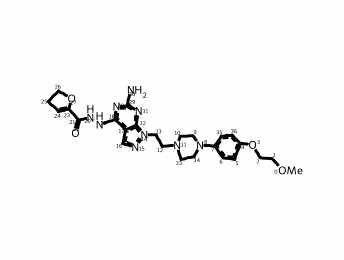 COCCOc1ccc(N2CCN(CCn3ncc4c(NNC(=O)C5=CCCO5)nc(N)nc43)CC2)cc1